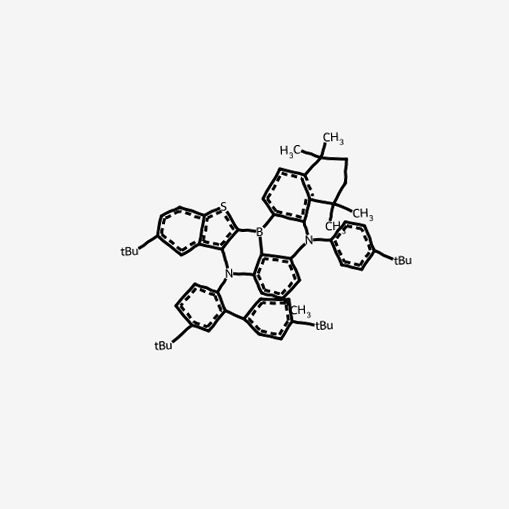 Cc1cc2c3c(c1)N(c1ccc(C(C)(C)C)cc1-c1ccc(C(C)(C)C)cc1)c1c(sc4ccc(C(C)(C)C)cc14)B3c1ccc3c(c1N2c1ccc(C(C)(C)C)cc1)C(C)(C)CCC3(C)C